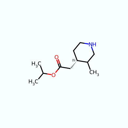 CC(C)OC(=O)C[C@@H]1CCNCC1C